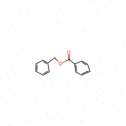 O=C(O[CH]c1ccccc1)c1ccccc1